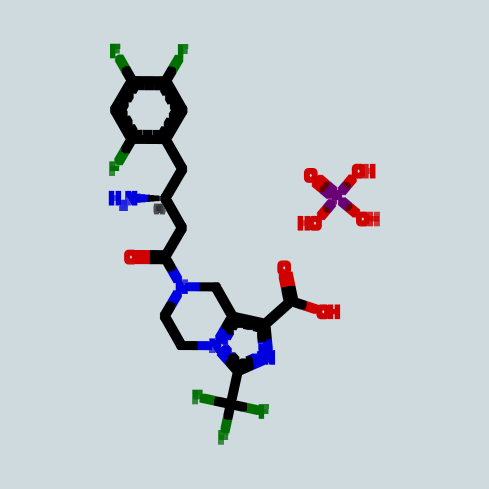 N[C@@H](CC(=O)N1CCn2c(C(F)(F)F)nc(C(=O)O)c2C1)Cc1cc(F)c(F)cc1F.O=P(O)(O)O